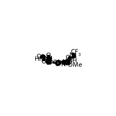 COc1cc2nn([C@H]3CC[C@H](CNc4cccc5c4n(C)c(=O)n5C4CCC(=O)NC4=O)CC3)cc2cc1NC(=O)c1cccc(C(F)(F)F)n1